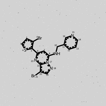 Brc1ccsc1-c1cc(NCc2cccnc2)n2ncc(Br)c2n1